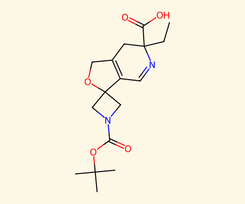 CCC1(C(=O)O)CC2=C(C=N1)C1(CN(C(=O)OC(C)(C)C)C1)OC2